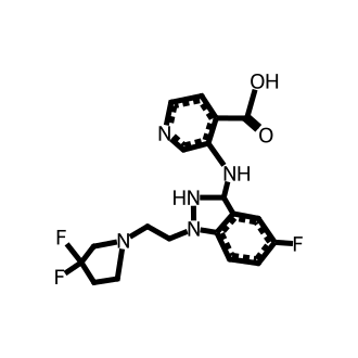 O=C(O)c1ccncc1NC1NN(CCN2CCC(F)(F)C2)c2ccc(F)cc21